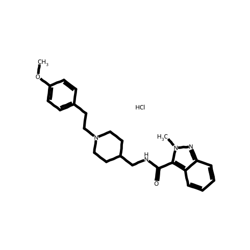 COc1ccc(CCN2CCC(CNC(=O)c3c4ccccc4nn3C)CC2)cc1.Cl